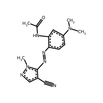 CC(=O)Nc1cc(N(C)C)ccc1/N=N/c1c(C#N)cnn1C